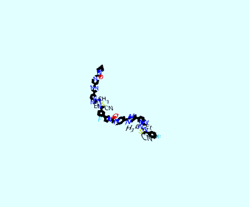 CCc1nc2ccc(-c3cnc(C4CCN(CC(=O)N5CCC(c6cc(-c7nc(N(C)c8c(CC)nc9ccc(-c%10cnc(C%11CCN(CC(=O)N%12CCC%12)CC%11)nc%10)cn89)sc7C#N)ccc6F)C5)CC4)nc3)cn2c1N(C)c1nc(-c2ccc(F)cc2)c(C#N)s1